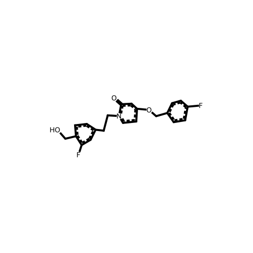 O=c1cc(OCc2ccc(F)cc2)ccn1CCc1ccc(CO)c(F)c1